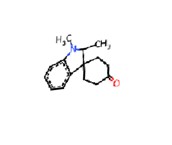 CC1N(C)c2ccccc2C12CCC(=O)CC2